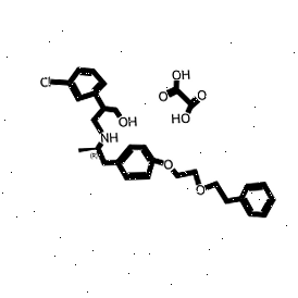 C[C@H](Cc1ccc(OCCOCCc2ccccc2)cc1)NCC(CO)c1cccc(Cl)c1.O=C(O)C(=O)O